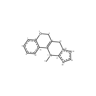 CN1C2=C(COc3ccccc32)Cn2ncnc21